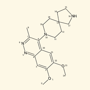 COc1cc2nnc(C)c(N3CCC4(CCNC4)CC3)c2cc1OC